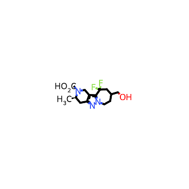 C[C@@H]1Cc2nn3c(c2CN1C(=O)O)C(F)(F)CC(CO)CC3